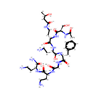 CCCC(=O)N[C@H](CO)C(=O)N[C@@H](CCNC(=O)C[C@@H](C)O)C(=O)N[C@@H](CCN)C(O)N[C@H](Cc1ccccc1)C(=O)NCC(=O)N[C@@H](CCN)C(=O)N[C@@H](CCN)C(N)=O